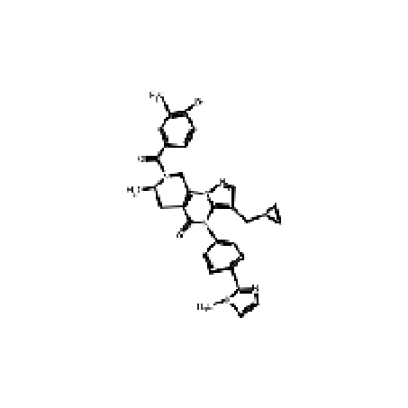 CC1Cc2c(n3ncc(CC4CC4)c3n(-c3ccc(-c4nccn4C)cc3)c2=O)CN1C(=O)c1ccc(Br)c(C(F)(F)F)c1